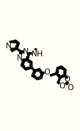 CNc1nc(-c2cccnc2)nc2ccc(-c3cccc(OCc4cccc5c4COC(=O)O5)c3)cc12